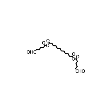 O=CCCCCC(=O)OC(=O)CCCCCCCCCCC(=O)OC(=O)CCCCC=O